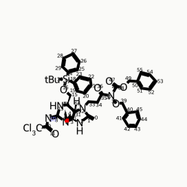 C=C1N[C@]23C=CCN2/C(=N\C(=O)C(Cl)(Cl)Cl)N[C@@H](CO[Si](c2ccccc2)(c2ccccc2)C(C)(C)C)[C@@H]3N1CCC(=O)N(OCc1ccccc1)C(=O)OCc1ccccc1